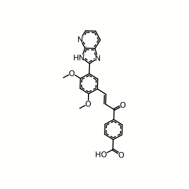 COc1cc(OC)c(-c2nc3cccnc3[nH]2)cc1/C=C/C(=O)c1ccc(C(=O)O)cc1